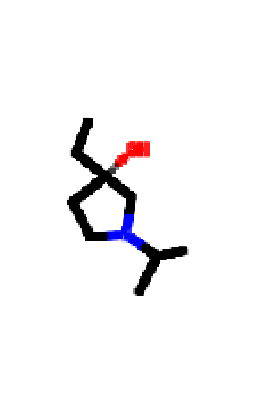 CC[C@]1(O)CCN(C(C)C)C1